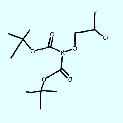 [CH2]C(Cl)CON(C(=O)OC(C)(C)C)C(=O)OC(C)(C)C